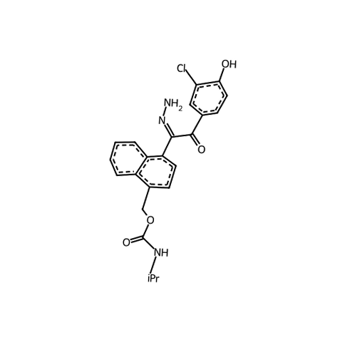 CC(C)NC(=O)OCc1ccc(C(=NN)C(=O)c2ccc(O)c(Cl)c2)c2ccccc12